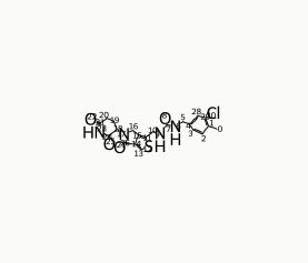 Cc1ccc(CNC(=O)NCc2scc3c2CN([C@H]2CCC(=O)NC2=O)C3=O)cc1Cl